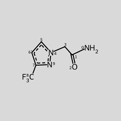 NC(=O)Cn1c[c]c(C(F)(F)F)n1